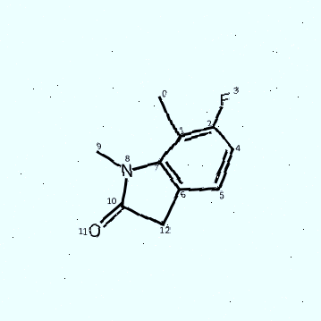 Cc1c(F)ccc2c1N(C)C(=O)C2